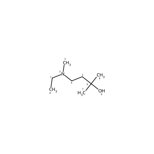 CCN(C)CCC(C)(C)O